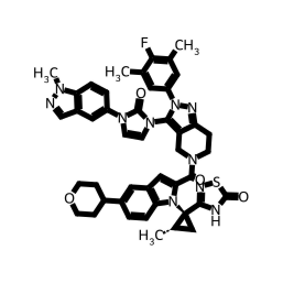 Cc1cc(-n2nc3c(c2-n2ccn(-c4ccc5c(cnn5C)c4)c2=O)CN(C(=O)c2cc4cc(C5CCOCC5)ccc4n2[C@@]2(c4nsc(=O)[nH]4)C[C@@H]2C)CC3)cc(C)c1F